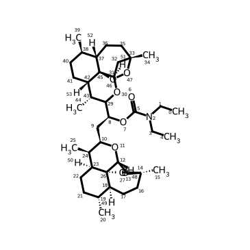 CCN(CC)C(=O)O[C@@H](C[C@H]1O[C@@H]2C[C@]3(C)CC[C@H]4[C@H](C)CC[C@@H]([C@H]1C)[C@@]24OO3)C1O[C@@H]2C[C@]3(C)CC[C@H]4[C@H](C)CC[C@@H]([C@H]1C)[C@@]24OO3